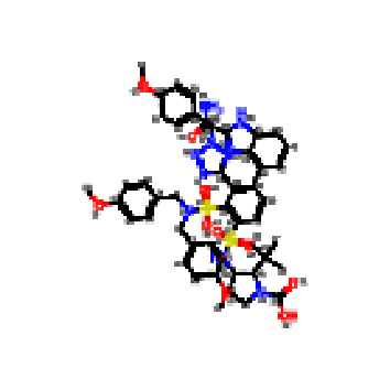 COc1ccc(CN(Cc2ccc(OC)cc2)S(=O)(=O)c2c(S(=O)(=O)NC3CCN(C(=O)O)C3C(C)(C)C)ccc(-c3cccc4[nH]c(C(N)=O)nc34)c2-c2nnn(Cc3ccc(OC)cc3)n2)cc1